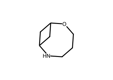 C1CNC2CC(C2)OC1